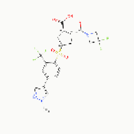 Cn1cc(-c2ccc(S(=O)(=O)[C@H]3C[C@@H](C(=O)O)[C@H](C(=O)N4CC(F)(F)C4)C3)c(C(F)(F)F)c2)cn1